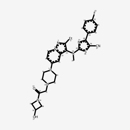 CCc1nn2ccc(N3CCN(CC(=O)N4CC(O)C4)CC3)cc2c1N(C)c1nc(-c2ccc(F)cc2)c(C#N)s1